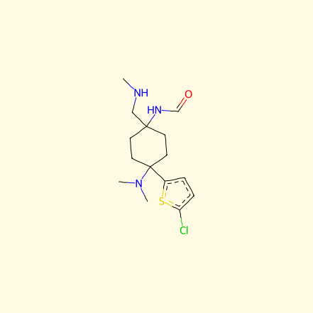 CNCC1(NC=O)CCC(c2ccc(Cl)s2)(N(C)C)CC1